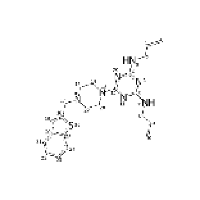 C=CCNc1nc(NCC=C)nc(N2CCN(Cc3cc4ccccc4s3)CC2)n1